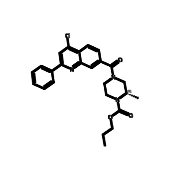 CCCOC(=O)N1CCN(C(=O)c2ccc3c(Cl)cc(-c4ccccc4)nc3c2)C[C@@H]1C